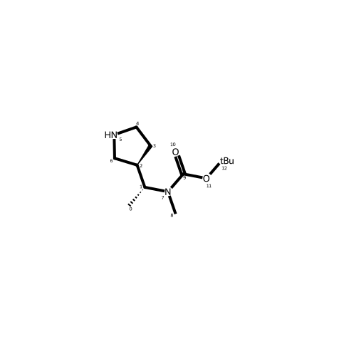 C[C@H]([C@@H]1CCNC1)N(C)C(=O)OC(C)(C)C